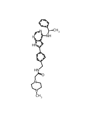 C[C@@H](Nc1ncnc2[nH]c(-c3ccc(CNC(=O)CN4CCN(C)CC4)cc3)cc12)c1ccccc1